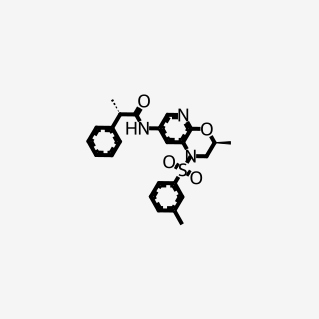 Cc1cccc(S(=O)(=O)N2C[C@H](C)Oc3ncc(NC(=O)[C@@H](C)c4ccccc4)cc32)c1